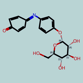 O=C1C=CC(=Nc2ccc(O[C@H]3O[C@H](CO)[C@@H](O)[C@H](O)[C@H]3O)cc2)C=C1